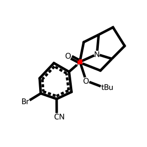 CC(C)(C)OC(=O)N1C2CCC1CN(c1ccc(Br)c(C#N)c1)C2